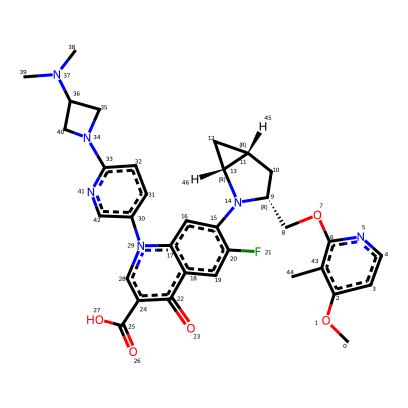 COc1ccnc(OC[C@H]2C[C@H]3C[C@H]3N2c2cc3c(cc2F)c(=O)c(C(=O)O)cn3-c2ccc(N3CC(N(C)C)C3)nc2)c1C